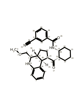 COC[C@@H]1Nc2ccccc2[C@H]2[C@H]1CCN2C(=O)[C@H]1CCCC[C@H]1NC(=O)c1cccc(C#N)c1